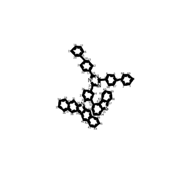 c1ccc(-c2ccc(-c3nc(-c4ccc(-c5ccccc5)cc4)nc(-c4ccc(-n5c6cc7ccccc7cc6c6cc7ccccc7cc65)c(-c5cccc6sc7ccccc7c56)c4)n3)cc2)cc1